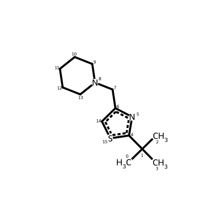 CC(C)(C)c1nc(CN2CCCCC2)cs1